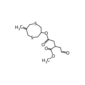 C=C1CSCC(OC(=O)CC(CC=O)C(=O)OC)CSC1